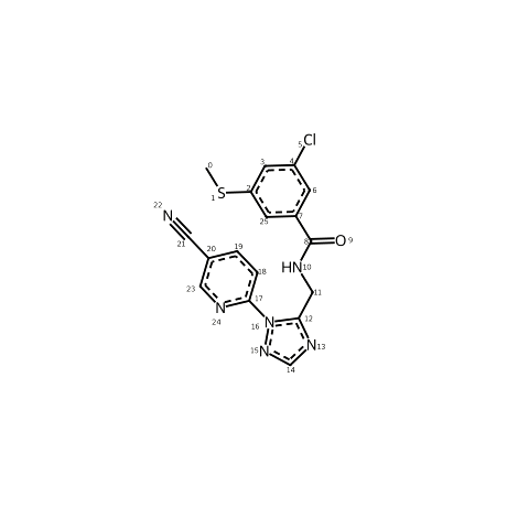 CSc1cc(Cl)cc(C(=O)NCc2ncnn2-c2ccc(C#N)cn2)c1